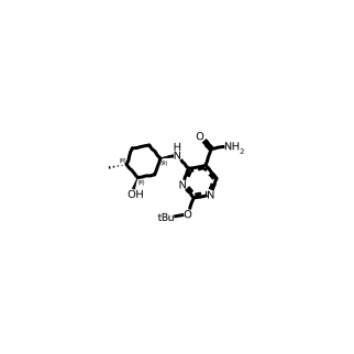 C[C@@H]1CC[C@@H](Nc2nc(OC(C)(C)C)ncc2C(N)=O)C[C@H]1O